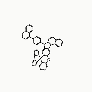 c1ccc2c(c1)Oc1cc3c4c5ccccc5ccc4n(-c4ccc(-c5cccc6ccccc56)cc4)c3cc1C21c2ccccc2-c2ccccc21